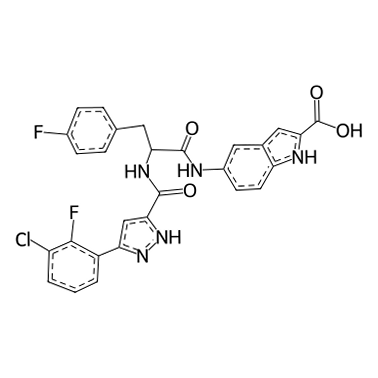 O=C(O)c1cc2cc(NC(=O)C(Cc3ccc(F)cc3)NC(=O)c3cc(-c4cccc(Cl)c4F)n[nH]3)ccc2[nH]1